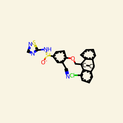 N#Cc1cc([S+]([O-])Nc2ncns2)ccc1OCC12CCC(c3ccccc31)c1cccc(Cl)c12